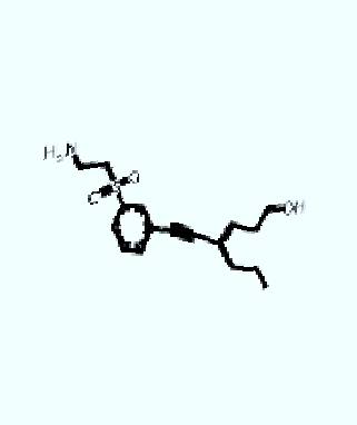 CCCC(C#Cc1cccc(S(=O)(=O)CCN)c1)CCCO